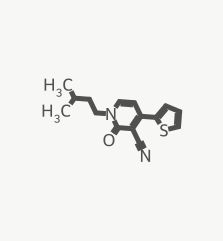 CC(C)CCn1ccc(-c2cccs2)c(C#N)c1=O